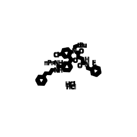 CCCNC(NCCCc1ccccc1)c1cccc(C2OC(CC(=O)NCc3ccccc3F)C(=O)N(CC(C)(C)C)c3ccc(Cl)cc32)c1.Cl.Cl